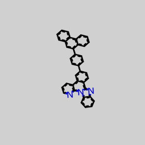 c1ccc2c(c1)cc(-c1ccc(-c3ccc4c(c3)c3cccnc3n3c5ccccc5nc43)cc1)c1ccccc12